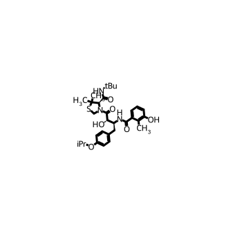 Cc1c(O)cccc1C(=O)N[C@@H](Cc1ccc(OC(C)C)cc1)[C@H](O)C(=O)N1CSC(C)(C)[C@H]1C(=O)NC(C)(C)C